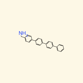 NCc1ccc(-c2ccc(-c3ccc(-c4ccccc4)cc3)cc2)cc1